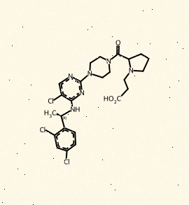 C[C@@H](Nc1nc(N2CCN(C(=O)C3CCCN3CCC(=O)O)CC2)ncc1Cl)c1ccc(Cl)cc1Cl